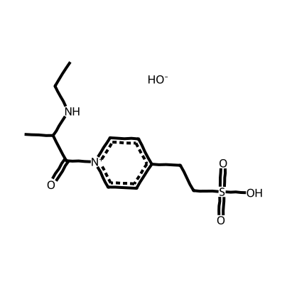 CCNC(C)C(=O)[n+]1ccc(CCS(=O)(=O)O)cc1.[OH-]